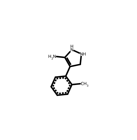 Cc1ccccc1C1=C(N)NNC1